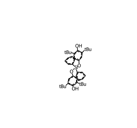 CC(C)(C)c1cc(O[Si](Oc2cc(C(C)(C)C)c(O)c(C(C)(C)C)c2)(c2ccccc2)c2ccccc2)cc(C(C)(C)C)c1O